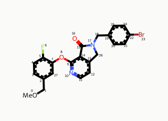 COCc1ccc(F)c(Oc2nccc3c2C(=O)N(Cc2ccc(Br)cc2)C3)c1